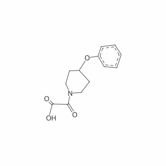 O=C(O)C(=O)N1CCC(Oc2ccccc2)CC1